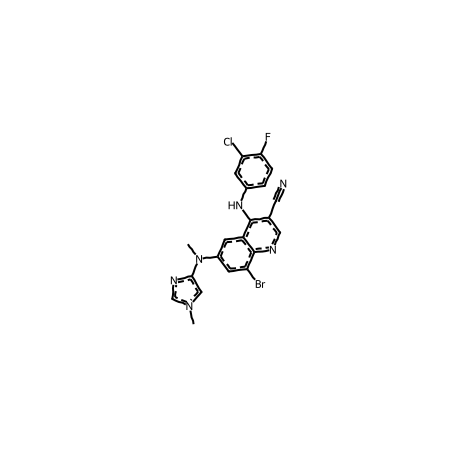 CN(c1cc(Br)c2ncc(C#N)c(Nc3ccc(F)c(Cl)c3)c2c1)c1cn(C)cn1